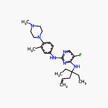 C=CCC(CC)(CC)Nc1nc(Nc2ccc(N3CCN(C)CC3)c(C)c2)ncc1F